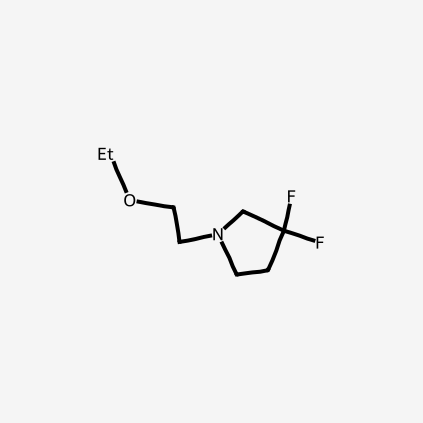 CCOCCN1CCC(F)(F)C1